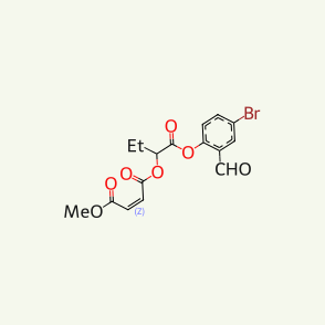 CCC(OC(=O)/C=C\C(=O)OC)C(=O)Oc1ccc(Br)cc1C=O